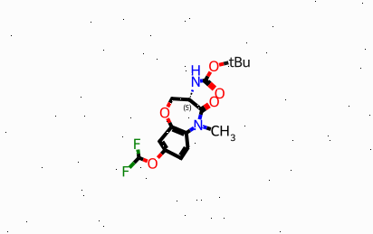 CN1C(=O)[C@@H](NC(=O)OC(C)(C)C)COc2cc(OC(F)F)ccc21